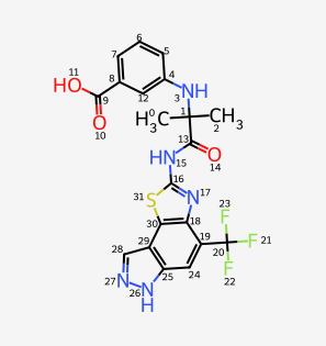 CC(C)(Nc1cccc(C(=O)O)c1)C(=O)Nc1nc2c(C(F)(F)F)cc3[nH]ncc3c2s1